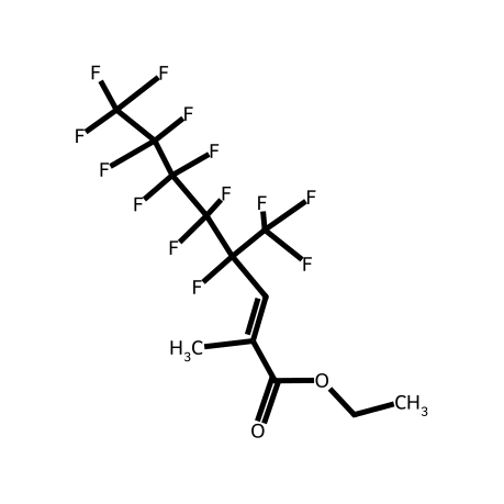 CCOC(=O)C(C)=CC(F)(C(F)(F)F)C(F)(F)C(F)(F)C(F)(F)C(F)(F)F